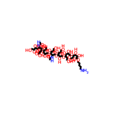 CC(=O)N[C@H]1C(O[C@@H]2OC(CO)[C@H](O)C(O[C@]3(C(=O)O)C[C@@H](O)[C@@H](NC(C)=O)C([C@H](O)[C@H](O)CO)O3)[C@@H]2O)[C@@H](O)C(CO)O[C@H]1O[C@@H]1C(O)[C@@H](O[C@H]2C(CO)O[C@@H](O[C@@H]3C(CO)O[C@@H](OCCCCCN)[C@@H](O)C3O)[C@@H](O)C2O)OC(CO)[C@@H]1O